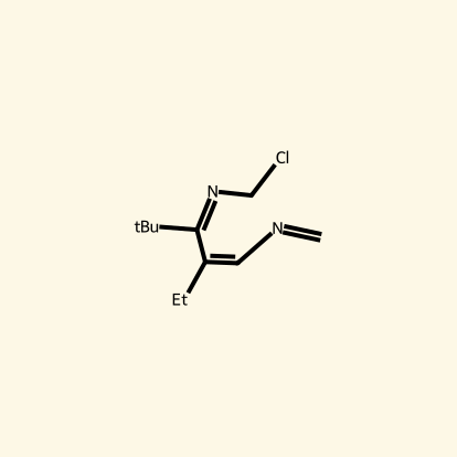 C=N/C=C(CC)\C(=N/CCl)C(C)(C)C